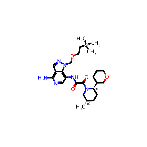 C[C@H]1CC[C@H](C2CCCOC2)N(C(=O)C(=O)Nc2cnc(N)c3cnn(COCC[Si](C)(C)C)c23)C1